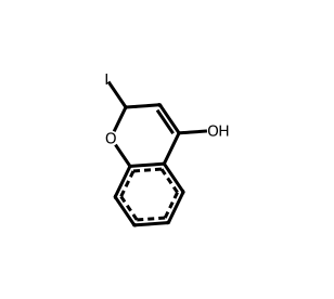 OC1=CC(I)Oc2ccccc21